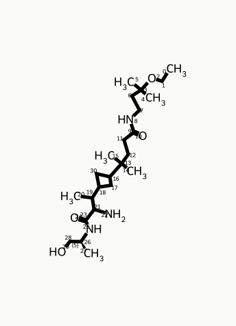 CCOC(C)(C)CCNC(=O)CCC(C)(C)C1CC(C(C)C(N)C(=O)N[C@@H](C)CO)C1